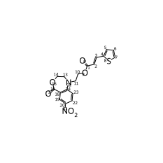 O=C(/C=C/c1cccs1)OCCN1CCOC(=O)c2cc([N+](=O)[O-])ccc21